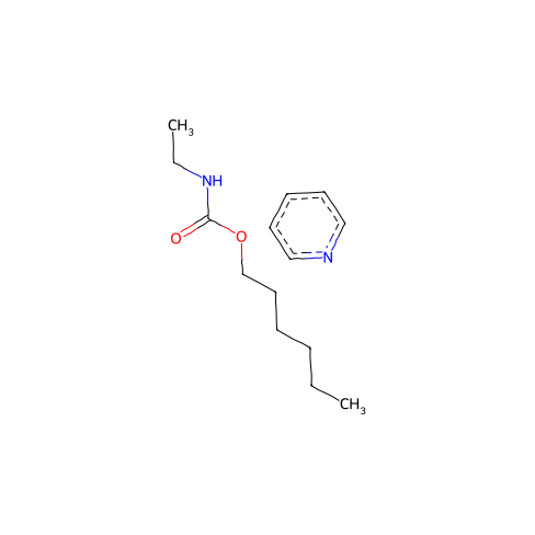 CCCCCCOC(=O)NCC.c1ccncc1